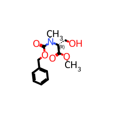 COC(=O)[C@@H](CO)N(C)C(=O)OCc1ccccc1